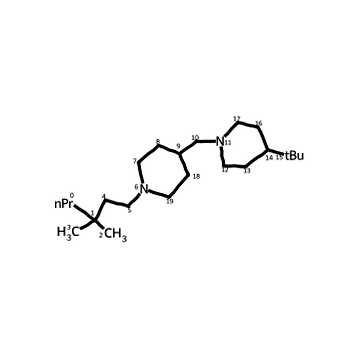 CCCC(C)(C)CCN1CCC(CN2CCC(C(C)(C)C)CC2)CC1